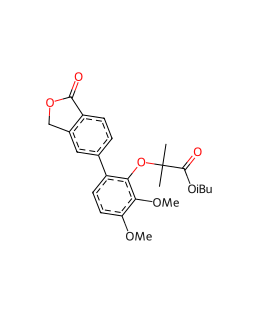 COc1ccc(-c2ccc3c(c2)COC3=O)c(OC(C)(C)C(=O)OCC(C)C)c1OC